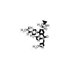 C[C@@H]1CN=C2N(Cc3cnn(C)c3)C(=O)c3cc(S(=O)(=O)NC4(C)CC4)cc(N4CCN(C(=O)N(C)C)CC4)c3N21